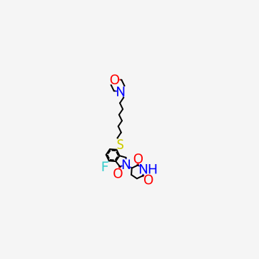 O=C1CCC(N2Cc3c(SCCCCCCCCN4CCOCC4)ccc(F)c3C2=O)C(=O)N1